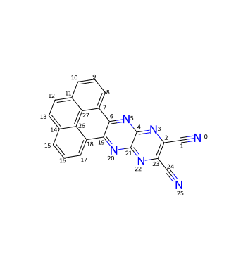 N#Cc1nc2nc3c4cccc5ccc6cccc(c3nc2nc1C#N)c6c54